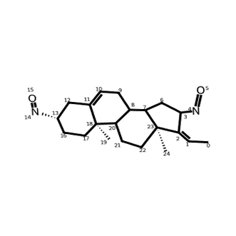 C/C=C1\C(N=O)CC2C3CC=C4C[C@@H](N=O)CC[C@]4(C)C3CC[C@]12C